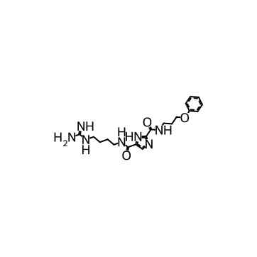 N=C(N)NCCCCNC(=O)c1cnc(C(=O)NCCCOc2ccccc2)[nH]1